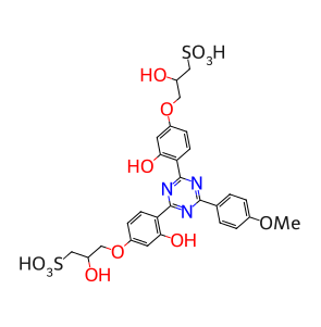 COc1ccc(-c2nc(-c3ccc(OCC(O)CS(=O)(=O)O)cc3O)nc(-c3ccc(OCC(O)CS(=O)(=O)O)cc3O)n2)cc1